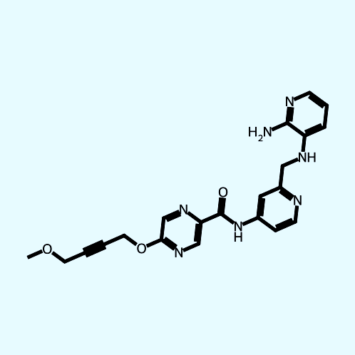 COCC#CCOc1cnc(C(=O)Nc2ccnc(CNc3cccnc3N)c2)cn1